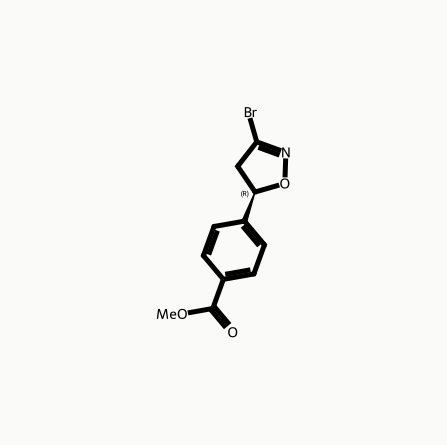 COC(=O)c1ccc([C@H]2CC(Br)=NO2)cc1